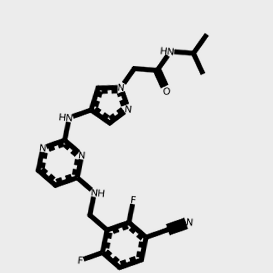 CC(C)NC(=O)Cn1cc(Nc2nccc(NCc3c(F)ccc(C#N)c3F)n2)cn1